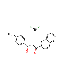 Cc1ccc(C(=O)CC(=O)c2ccc3ccccc3c2)cc1.F[B]F